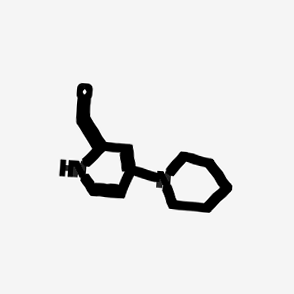 O=C=C1C=C(N2CCCCC2)C=CN1